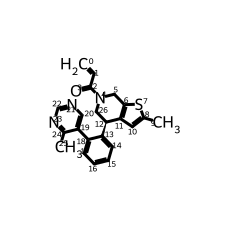 C=CC(=O)N1Cc2sc(C)cc2[C@@H](c2ccccc2-c2cncnc2C)C1